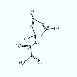 C=C(C)C(=O)OC1(I)C=C(I)C=C(I)C1